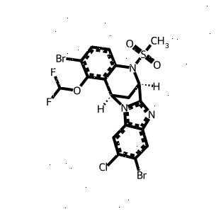 CS(=O)(=O)N1c2ccc(Br)c(OC(F)F)c2[C@H]2C[C@@H]1c1nc3cc(Br)c(Cl)cc3n12